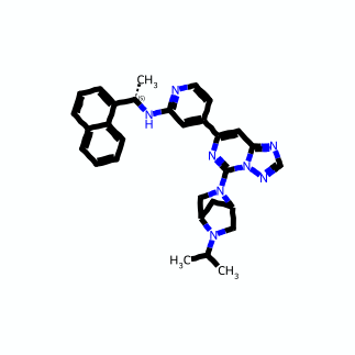 CC(C)N1CC2CC1CN2c1nc(-c2ccnc(N[C@@H](C)c3cccc4ccccc34)c2)cc2ncnn12